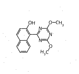 COc1nc(OC)nc(-c2c(O)ccc3ccccc23)n1